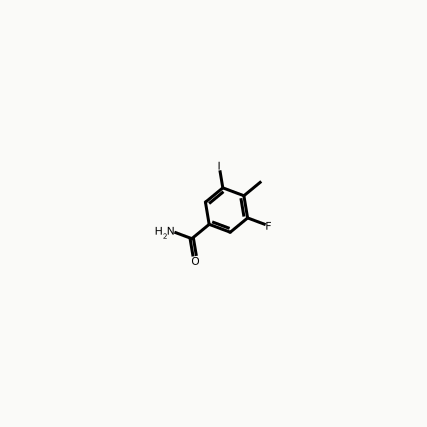 Cc1c(F)cc(C(N)=O)cc1I